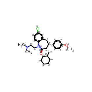 COc1ccc([C@H]2Cc3cc(Cl)ccc3N(CCN(C)C)C(=O)[C@H]2CC2CCCCC2)cc1